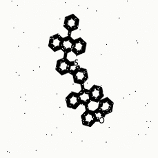 c1ccc(-c2c3ccccc3c(-c3cccc4c3sc3ccc(-c5c6ccccc6c(-c6cccc7oc8ccccc8c67)c6ccccc56)cc34)c3ccccc23)cc1